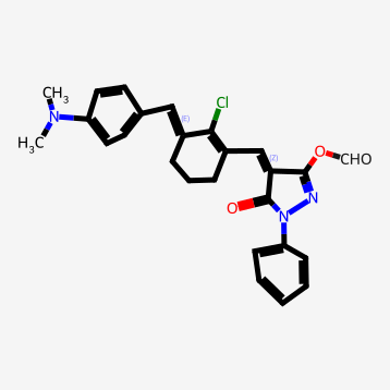 CN(C)c1ccc(/C=C2\CCCC(/C=C3\C(=O)N(c4ccccc4)N=C3OC=O)=C2Cl)cc1